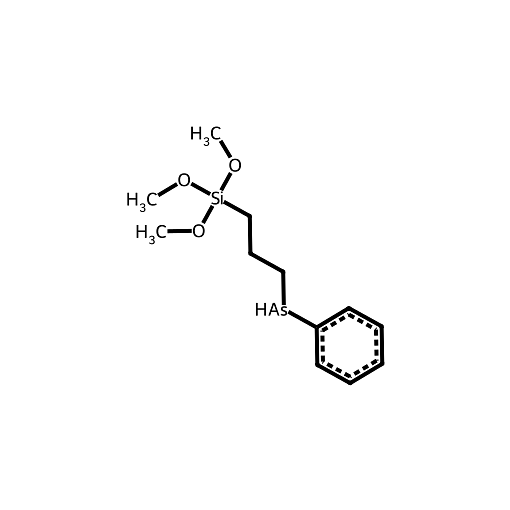 CO[Si](CCC[AsH]c1ccccc1)(OC)OC